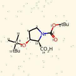 CC(C)(C)OC(=O)N1CC[C@H](O[Si](C)(C)C(C)(C)C)[C@@H]1C(=O)O